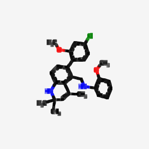 COc1ccccc1NCc1c(-c2ccc(Cl)cc2OC)ccc2c1C(C)=CC(C)(C)N2